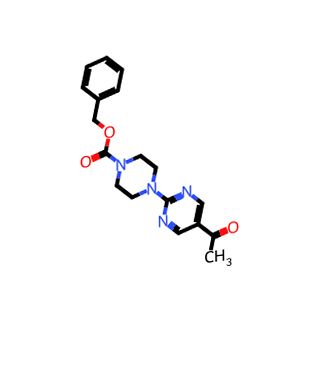 CC(=O)c1cnc(N2CCN(C(=O)OCc3ccccc3)CC2)nc1